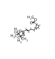 COC(=O)[C@H]1CCN1CC/C=C/B1OC(C)(C)C(C)(C)O1